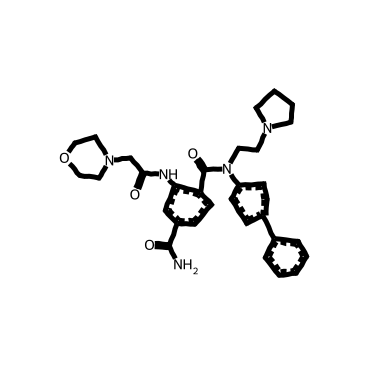 NC(=O)c1ccc(C(=O)N(CCN2CCCC2)c2ccc(-c3ccccc3)cc2)c(NC(=O)CN2CCOCC2)c1